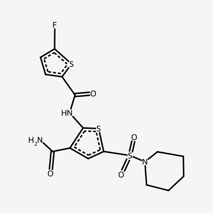 NC(=O)c1cc(S(=O)(=O)N2CCCCC2)sc1NC(=O)c1ccc(F)s1